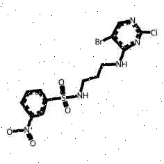 O=[N+]([O-])c1cccc(S(=O)(=O)NCCCNc2nc(Cl)ncc2Br)c1